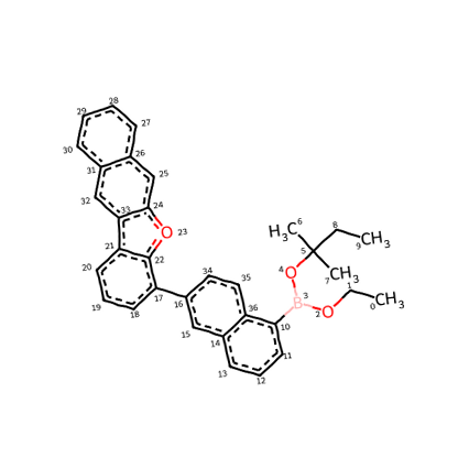 CCOB(OC(C)(C)CC)c1cccc2cc(-c3cccc4c3oc3cc5ccccc5cc34)ccc12